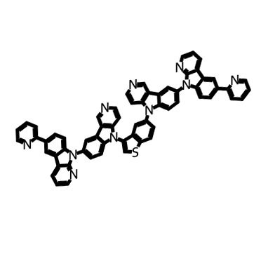 c1ccc(-c2ccc3c(c2)c2cccnc2n3-c2ccc3c(c2)c2cnccc2n3-c2ccc3scc(-n4c5ccncc5c5cc(-n6c7ccc(-c8ccccn8)cc7c7cccnc76)ccc54)c3c2)nc1